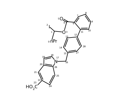 CCCC(I)OC(=O)c1ccccc1-c1ccc(Cn2ccc3cc(C(=O)O)ccc32)cc1